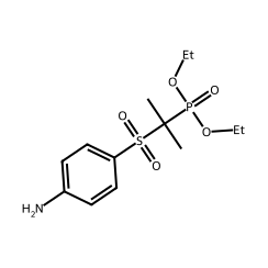 CCOP(=O)(OCC)C(C)(C)S(=O)(=O)c1ccc(N)cc1